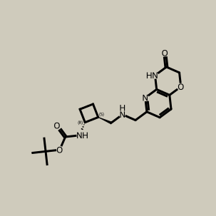 CC(C)(C)OC(=O)N[C@@H]1CC[C@H]1CNCc1ccc2c(n1)NC(=O)CO2